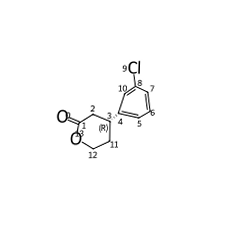 O=C1C[C@H](c2cccc(Cl)c2)CCO1